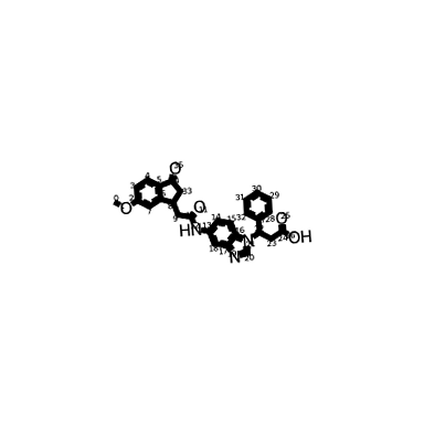 COc1ccc2c(c1)C(CC(=O)Nc1ccc3c(c1)ncn3C(CC(=O)O)c1ccccc1)CC2=O